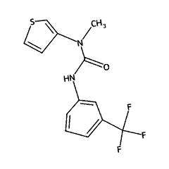 CN(C(=O)Nc1cccc(C(F)(F)F)c1)c1ccsc1